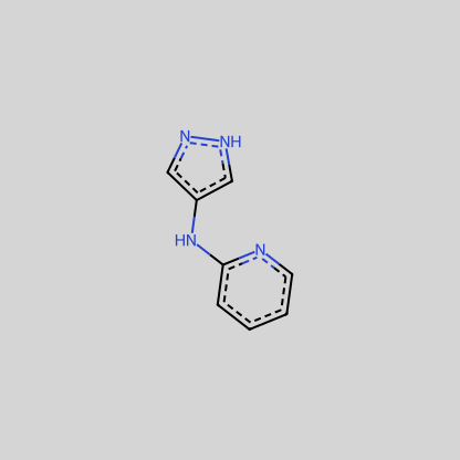 c1ccc(Nc2cn[nH]c2)nc1